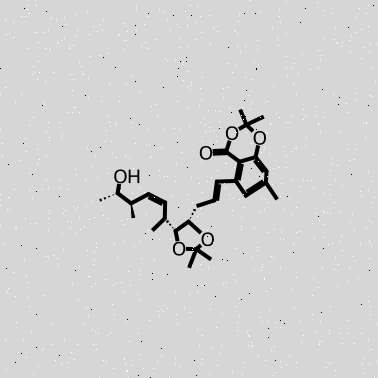 Cc1cc(/C=C/C[C@@H]2OC(C)(C)O[C@@H]2C(C)/C=C\[C@@H](C)[C@H](C)O)c2c(c1)OC(C)(C)OC2=O